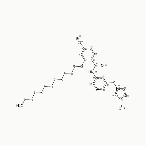 CCCCCCCCCCCCOc1cc(Cl)ccc1C(=O)Nc1cccc(C[n+]2csc(C)c2)c1.[Br-]